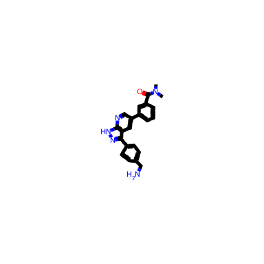 CN(C)C(=O)c1cccc(-c2cnc3[nH]nc(-c4ccc(CN)cc4)c3c2)c1